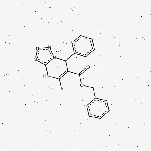 O=C(OCc1ccccc1)C1=C(F)Nc2nnnn2C1c1ccccn1